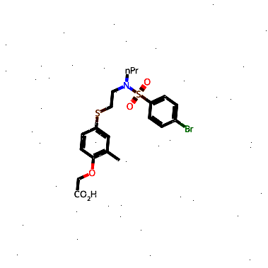 CCCN(CCSc1ccc(OCC(=O)O)c(C)c1)S(=O)(=O)c1ccc(Br)cc1